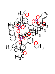 COc1cc(-c2cc(OC)cc(C(C)(C)C)c2OP2Oc3cccc4cc5cccc(Op6oc7c(C(C)(C)C)cc(OC)cc7c7cc(OC)cc(C(C)(C)C)c7o6)c5c(c34)O2)c(OP2OC(=O)c3ccccc3O2)c(C(C)(C)C)c1